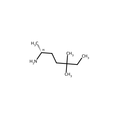 CCC(C)(C)CC[C@@H](C)N